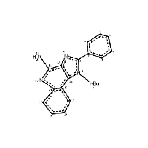 [CH2]CCCn1c(-c2ccccc2)nc2c(N)nc3ccccc3c21